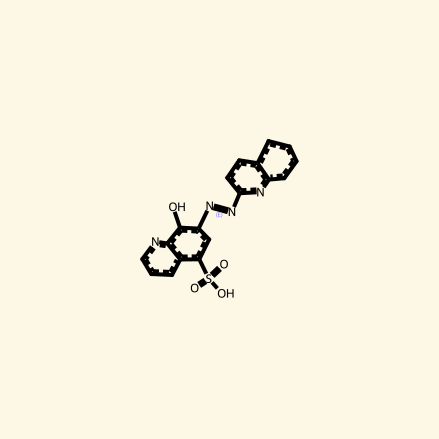 O=S(=O)(O)c1cc(/N=N/c2ccc3ccccc3n2)c(O)c2ncccc12